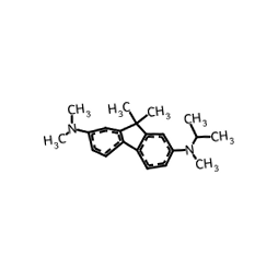 CC(C)N(C)c1ccc2c(c1)C(C)(C)c1cc(N(C)C)ccc1-2